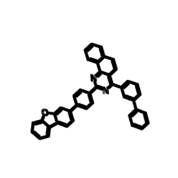 c1ccc(-c2cccc(-c3nc(-c4ccc(-c5ccc6c(c5)oc5ccccc56)cc4)nc4c3ccc3ccccc34)c2)cc1